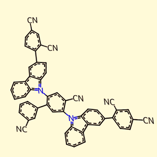 N#Cc1cccc(-c2cc(-n3c4ccccc4c4cc(-c5ccc(C#N)cc5C#N)ccc43)c(C#N)cc2-n2c3ccccc3c3cc(-c4ccc(C#N)cc4C#N)ccc32)c1